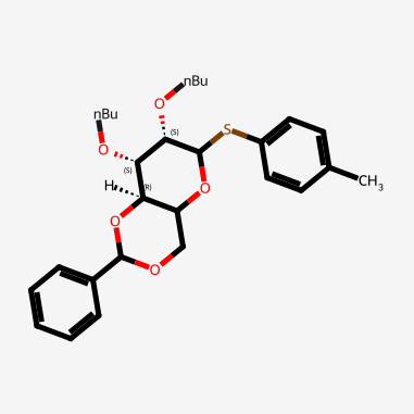 CCCCO[C@H]1[C@@H]2OC(c3ccccc3)OCC2OC(Sc2ccc(C)cc2)[C@H]1OCCCC